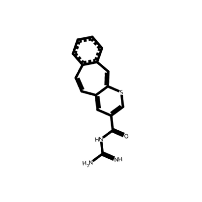 N=C(N)NC(=O)C1=CSC2=Cc3ccccc3C=CC2=C1